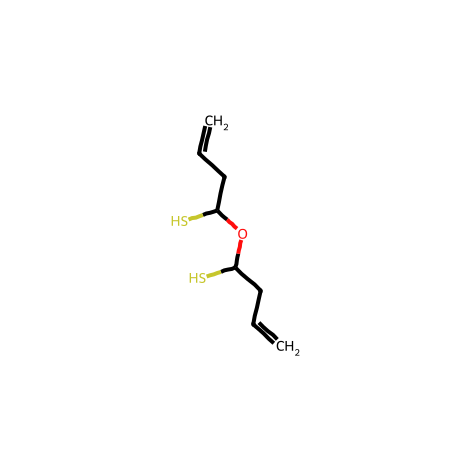 C=CCC(S)OC(S)CC=C